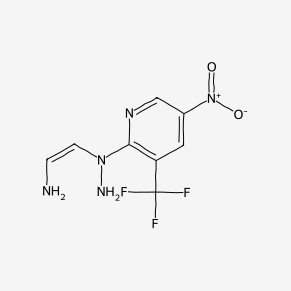 N/C=C\N(N)c1ncc([N+](=O)[O-])cc1C(F)(F)F